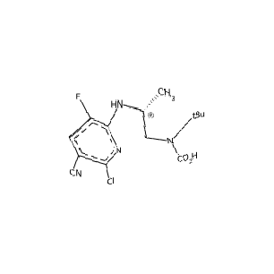 C[C@H](CN(C(=O)O)C(C)(C)C)Nc1nc(Cl)c(C#N)cc1F